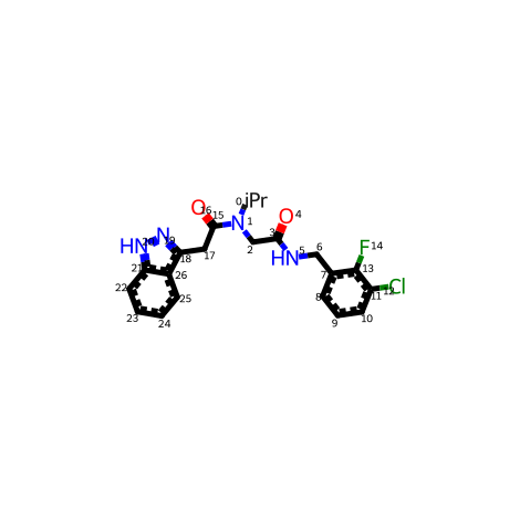 CC(C)N(CC(=O)NCc1cccc(Cl)c1F)C(=O)Cc1n[nH]c2ccccc12